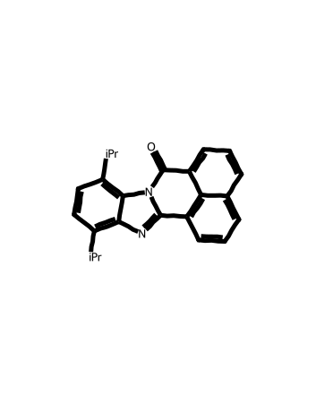 CC(C)c1ccc(C(C)C)c2c1nc1c3cccc4cccc(c(=O)n12)c43